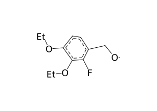 CCOc1ccc(C[O])c(F)c1OCC